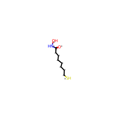 O=C(CCCCCCCS)NO